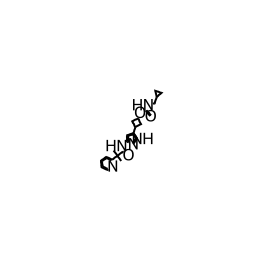 CC(C)(C(=O)Nc1cc(C2CC(OC(=O)NCC3CC3)C2)[nH]n1)c1ccccn1